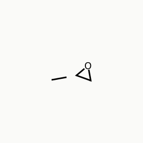 C1CO1.CC